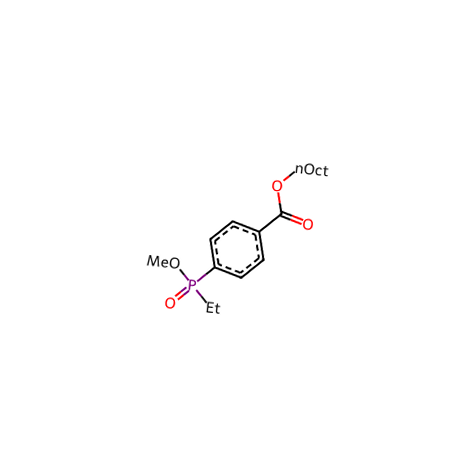 CCCCCCCCOC(=O)c1ccc(P(=O)(CC)OC)cc1